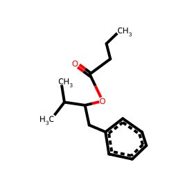 CCCC(=O)OC(Cc1ccccc1)C(C)C